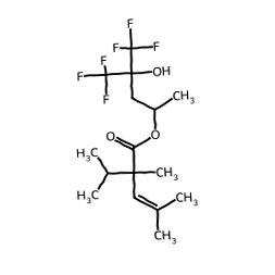 CC(C)=CC(C)(C(=O)OC(C)CC(O)(C(F)(F)F)C(F)(F)F)C(C)C